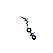 Cn1c(-c2ccc(OCCCC(F)(F)CCCO)cc2)cc2ccccc21